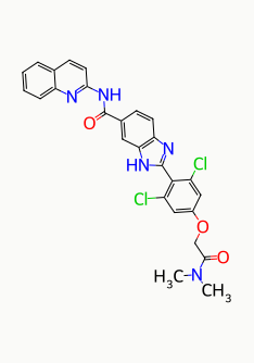 CN(C)C(=O)COc1cc(Cl)c(-c2nc3ccc(C(=O)Nc4ccc5ccccc5n4)cc3[nH]2)c(Cl)c1